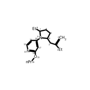 C=C(CC)CC1CCC(CC)N1c1ccnc(OCCC)c1